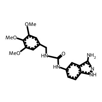 COc1cc(CNC(=O)Nc2ccc3[nH]nc(N)c3c2)cc(OC)c1OC